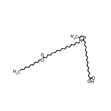 CCCCCCCCCCOC(=O)CCCCCCCCCCCCCCCN1C(CCCCCCCCCCCCCCC(=O)O)=NCC1C